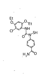 CCOc1cc(OCC)c(NC(=O)N(S)c2ccc(C(N)=O)cc2)cc1Cl